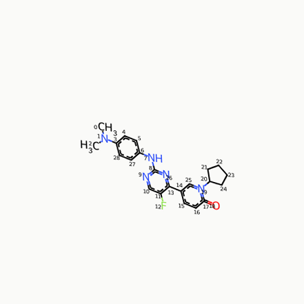 CN(C)c1ccc(Nc2ncc(F)c(-c3ccc(=O)n(C4CCCC4)c3)n2)cc1